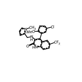 COc1ccc(Cl)cc1-c1c(NCc2cccn2C)c(=O)[nH]c2ccc(C(F)(F)F)cc12